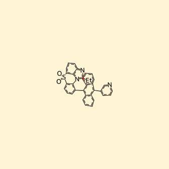 CCc1nc2cccc3c2n1-c1c(-c2c4ccccc4c(-c4cccnc4)c4ccccc24)cccc1S3(=O)=O